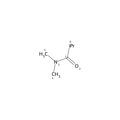 [CH2]C(C)C(=O)N(C)C